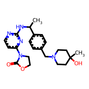 CC(Nc1nccc(N2CCOC2=O)n1)c1ccc(CN2CCC(C)(O)CC2)cc1